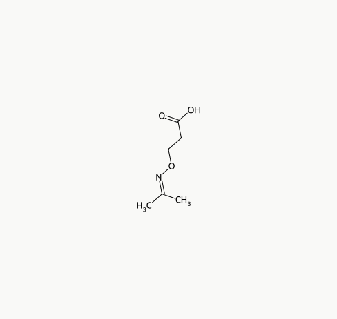 CC(C)=NOCCC(=O)O